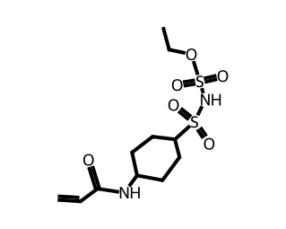 C=CC(=O)NC1CCC(S(=O)(=O)NS(=O)(=O)OCC)CC1